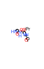 CC(C)Oc1cc2nc(C34CCC(C)(C3)OC4)cn2cc1C(=O)Nc1ccc[nH]c1=O